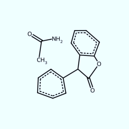 CC(N)=O.O=C1Oc2ccccc2C1c1ccccc1